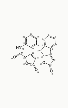 O=C1C=C2c3ccccc3CC2O1.O=C1C=C2c3ccccc3NC(=O)C2O1